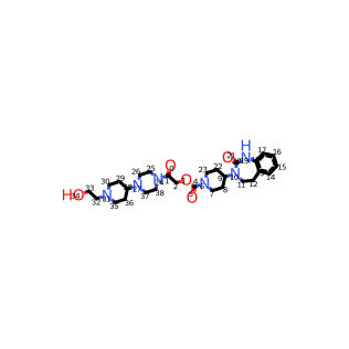 O=C(COC(=O)N1CCC(N2CCc3ccccc3NC2=O)CC1)N1CCN(C2CCN(CCO)CC2)CC1